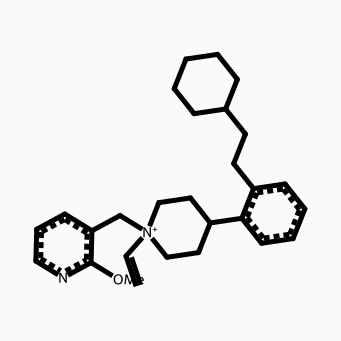 C=C[N+]1(Cc2cccnc2OC)CCC(c2ccccc2CCC2CCCCC2)CC1